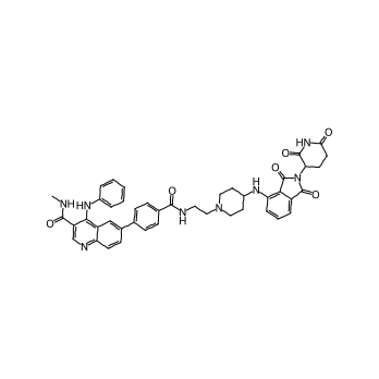 CNC(=O)c1cnc2ccc(-c3ccc(C(=O)NCCN4CCC(Nc5cccc6c5C(=O)N(C5CCC(=O)NC5=O)C6=O)CC4)cc3)cc2c1Nc1ccccc1